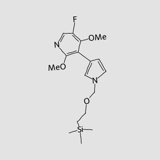 COc1ncc(F)c(OC)c1-c1ccn(COCC[Si](C)(C)C)c1